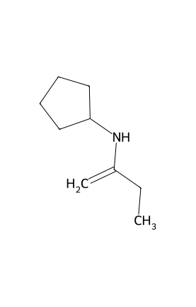 C=C(CC)NC1CCCC1